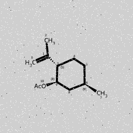 C=C(C)[C@@H]1CC[C@@H](C)C[C@H]1OC(C)=O